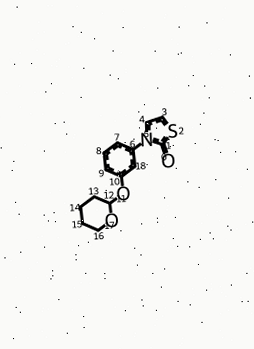 O=c1sccn1-c1cccc(OC2CCCCO2)c1